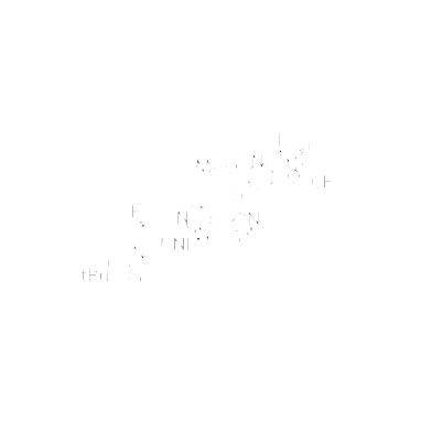 COc1nc(NS(=O)(=O)CC(F)(F)F)ccc1Oc1nc(C)sc1-c1ccnc(N[C@H]2C[C@H](F)CN(C(=O)OC(C)(C)C)C2)n1